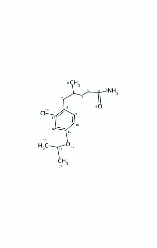 CC(CCC(N)=O)Cc1ccc(OC(C)C)cc1Cl